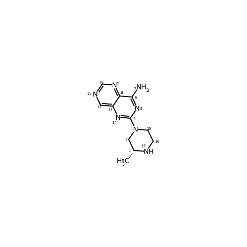 C[C@@H]1CN(c2nc(N)c3ncncc3n2)CCN1